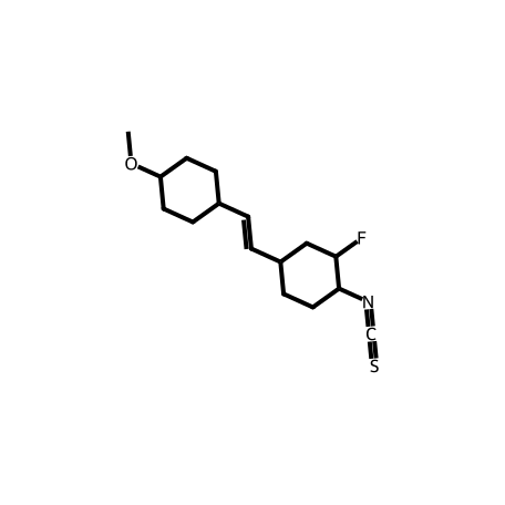 COC1CCC(C=CC2CCC(N=C=S)C(F)C2)CC1